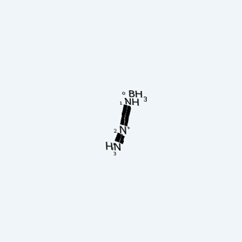 B.N=[N+]=N